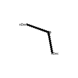 CCCCCCCCCCCCCCCCCCCCCCCCCCCCCCCCCC(=O)OCCCCCCCCCCCCCCCCCCCCCCCCCCCCC